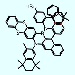 Cc1cc2c(cc1N1c3cc4c(cc3B3c5c1cc1ccccc1c5-c1ccc5c(c1N3c1ccc(C(C)(C)C)cc1-c1ccccc1)-c1ccccc1C5(C)C)Sc1ccccc1S4)C(C)(C)CCC2(C)C